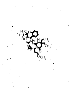 CCC1(CC)CC(=O)N(C(CCOC)[C@@H]2C[C@H]2C(=O)N[C@H]2c3ccccc3OC(C)(C)[C@@H]2O)C(=N)N1